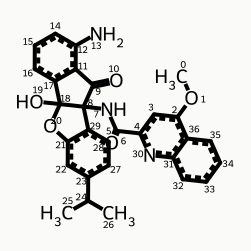 COc1cc(C(=O)NC23C(=O)c4c(N)cccc4C2(O)Oc2cc(C(C)C)ccc23)nc2ccccc12